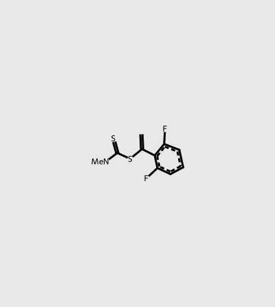 C=C(SC(=S)NC)c1c(F)cccc1F